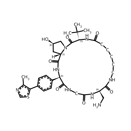 Cc1ncsc1-c1ccc([C@H]2NC(=O)[C@@H]3C[C@@H](O)CN3C(=O)[C@H](C(C)(C)C)NC(=O)CCCCCNC(=O)[C@@H](CN)NC(=O)CNC2=O)cc1